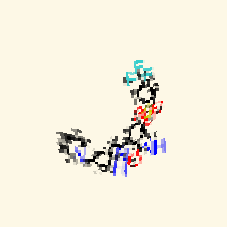 O=C1NCc2c(OS(=O)(=O)c3ccc(C(F)(F)F)cc3)ccc(-c3cc4cc(CN5CCCCC5)ccc4[nH]3)c21